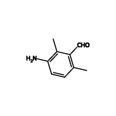 Cc1ccc(N)c(C)c1C=O